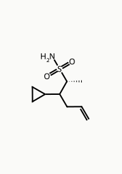 C=CCC(C1CC1)[C@@H](C)S(N)(=O)=O